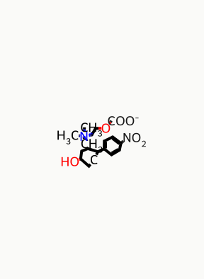 C[N+](C)(C)CCOC(=O)[O-].O=[N+]([O-])c1ccc(C2CCC(O)CC2)cc1